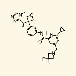 Cn1cnnc1[C@H](F)C1(c2cccc(NC(=O)c3cc(CN4CC(C)(F)C4)cc(C4CC4)n3)c2)COC1